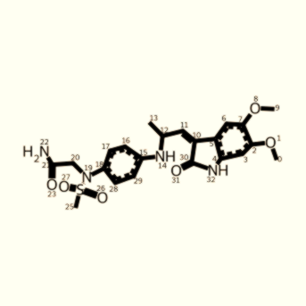 COc1cc2c(cc1OC)C(=CC(C)Nc1ccc(N(CC(N)=O)S(C)(=O)=O)cc1)C(=O)N2